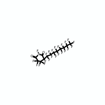 O=C1N(F)C(=O)C(F)(C(F)(F)C(F)(F)C(F)(F)C(F)(F)C(F)(F)C(F)(F)C(F)(F)C(F)(F)F)C(F)(F)C1(F)F